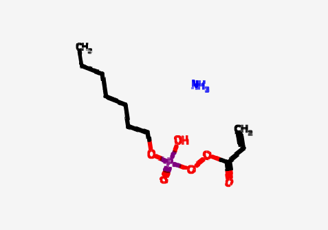 C=CC(=O)OOP(=O)(O)OCCCCCCC.N